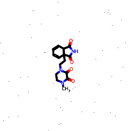 CN1CCN(CCC23C=CC=CC2C(=O)NC3=O)C(=O)C1=O